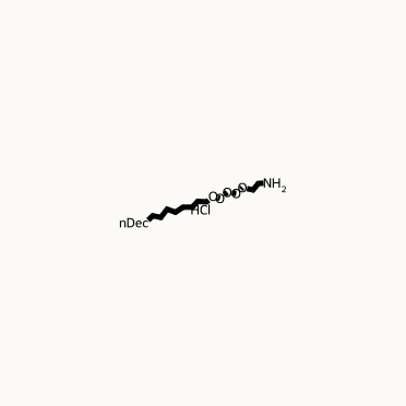 CCCCCCCCCCCCCCCCCCOOOOOCCN.Cl